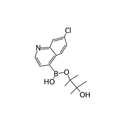 CC(C)(O)C(C)(C)OB(O)c1ccnc2cc(Cl)ccc12